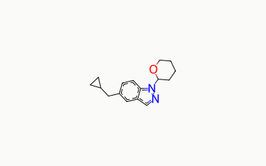 c1cc2c(cnn2C2CCCCO2)cc1CC1CC1